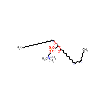 CCCCC/C=C\C/C=C\CCCCCCCC(=O)O[C@H](CO/C=C\CCCCCCCCCCCCCC)COP(=O)([O-])OCC[N+](C)(C)C